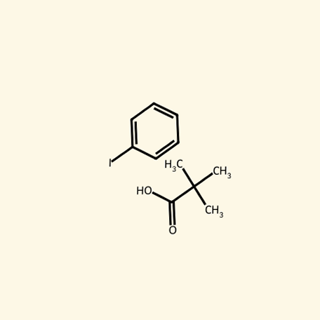 CC(C)(C)C(=O)O.Ic1ccccc1